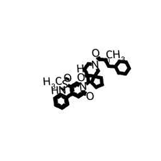 C[C@H](CC1CCCCC1)C(=O)N1CCC(O)(Cn2cc(S(C)(=N)=O)c(-c3ccccc3)cc2=O)C2(CCCC2)C1